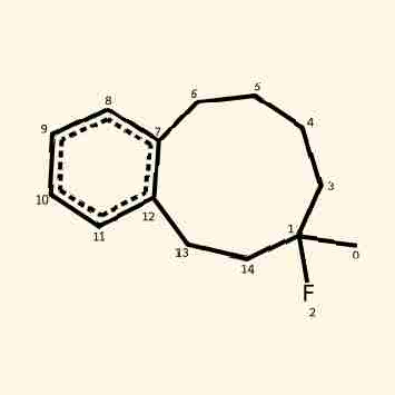 CC1(F)CCCCc2ccccc2CC1